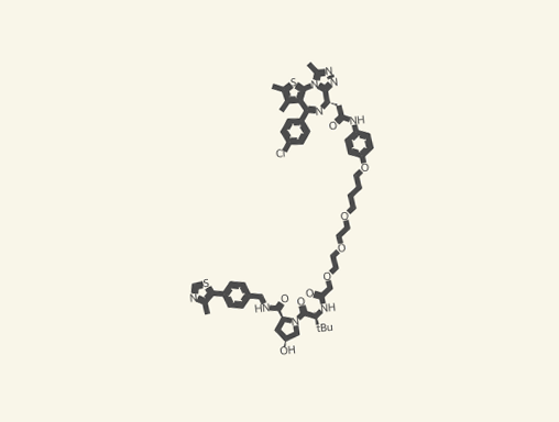 Cc1ncsc1-c1ccc(CNC(=O)[C@@H]2C[C@@H](O)CN2C(=O)[C@@H](NC(=O)COCCOCCOCCCCOc2ccc(NC(=O)C[C@@H]3N=C(c4ccc(Cl)cc4)c4c(sc(C)c4C)-n4c(C)nnc43)cc2)C(C)(C)C)cc1